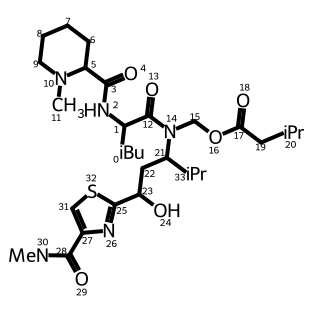 CCC(C)C(NC(=O)C1CCCCN1C)C(=O)N(COC(=O)CC(C)C)C(CC(O)c1nc(C(=O)NC)cs1)C(C)C